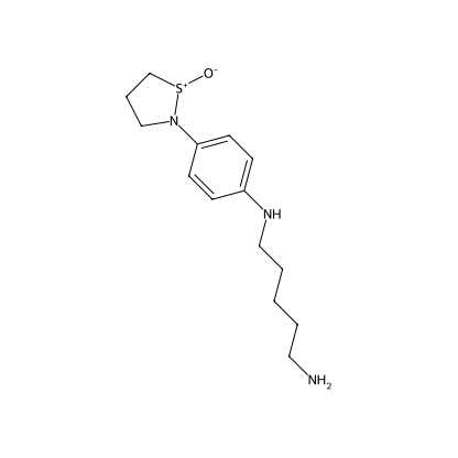 NCCCCCNc1ccc(N2CCC[S+]2[O-])cc1